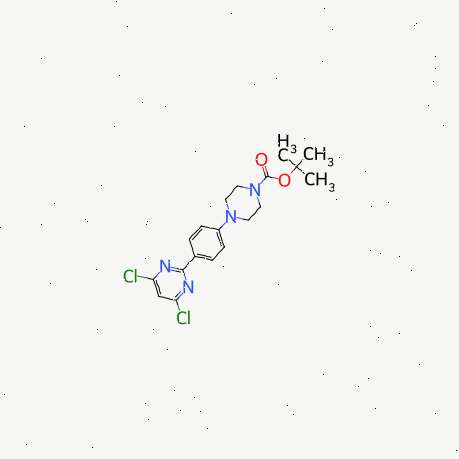 CC(C)(C)OC(=O)N1CCN(c2ccc(-c3nc(Cl)cc(Cl)n3)cc2)CC1